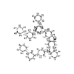 c1ccc(-c2cccc(-c3ccc(-n4c5ccccc5c5cc6oc7ccc(-c8nc(-c9ccccc9)nc(-c9cccc(-c%10ccccc%10)c9)n8)cc7c6cc54)cc3)c2)cc1